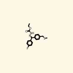 CCOC(=O)NN=C(c1ccc(F)cc1)c1ccc(CSC)cc1